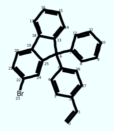 C=Cc1ccc(C2(c3ccccc3)c3ccccc3-c3ccc(Br)cc32)cc1